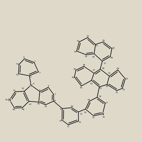 c1ccc(-n2c3ccc(-c4cccc(-c5cncc(-c6c7ccccc7c(-c7cccc8ccccc78)c7ccccc67)c5)c4)cc3c3ccncc32)cc1